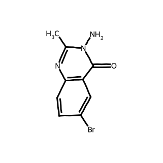 Cc1nc2ccc(Br)cc2c(=O)n1N